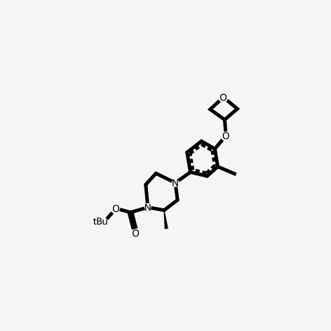 Cc1cc(N2CCN(C(=O)OC(C)(C)C)[C@H](C)C2)ccc1OC1COC1